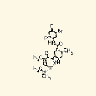 C[C@@H]1Cc2nn3c(c2CN1C(=O)Nc1cc(Br)c(F)cc1F)C(=O)N(C)O[C@@H](CN(C)C)C3